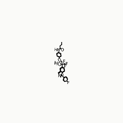 CCCC(=O)Nc1ccc(OCC(O)(c2ccc3c(cnn3-c3ccc(F)cc3)c2)C(F)(F)F)cc1